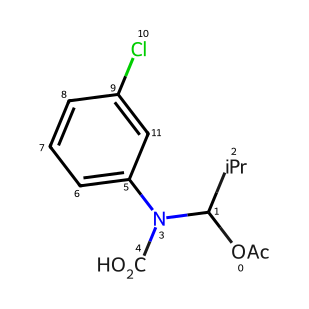 CC(=O)OC(C(C)C)N(C(=O)O)c1cccc(Cl)c1